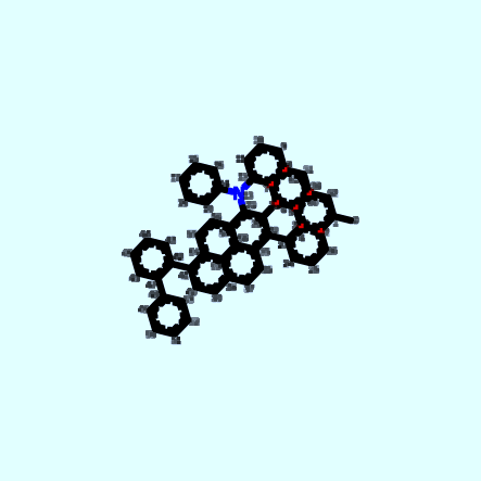 Cc1cc(C)c(B2c3ccccc3N(c3ccccc3)c3c2c(-c2ccccc2-c2ccccc2)c2ccc4ccc(-c5ccccc5-c5ccccc5)c5ccc3c2c45)c(C)c1